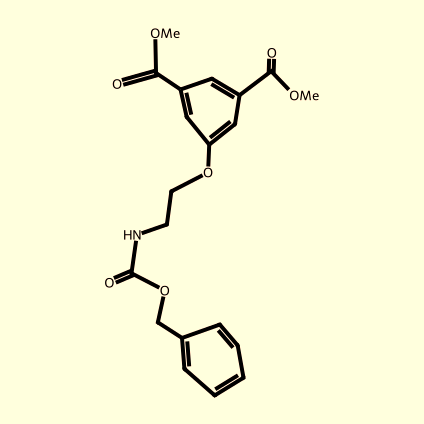 COC(=O)c1cc(OCCNC(=O)OCc2ccccc2)cc(C(=O)OC)c1